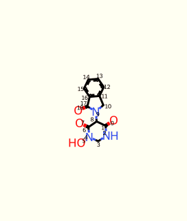 O=C1NCN(O)C(=O)C1N1Cc2ccccc2C1=O